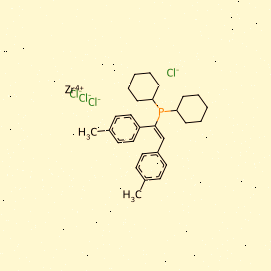 Cc1ccc(C=C(c2ccc(C)cc2)P(C2CCCCC2)C2CCCCC2)cc1.[Cl-].[Cl-].[Cl-].[Cl-].[Zr+4]